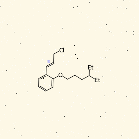 CCC(CC)CCCOc1ccccc1/C=C/CCl